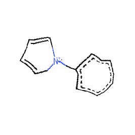 C1=C[N+](c2ccccc2)C=C1